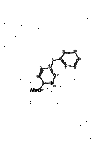 COc1ccc(Cc2ccccc2)cn1